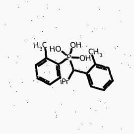 Cc1ccccc1C(C(C)C)P(O)(O)(O)c1ccccc1C